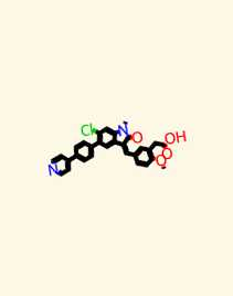 COc1ccc(C=C2C(=O)N(C)c3cc(Cl)c(-c4ccc(-c5ccncc5)cc4)cc32)cc1CC(=O)O